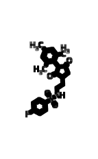 Cc1cc(C)c(C2C(=O)CC(CCNS(=O)(=O)c3ccc(F)cc3)C2=O)c(C)c1